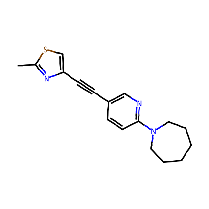 Cc1nc(C#Cc2ccc(N3CCCCCC3)nc2)cs1